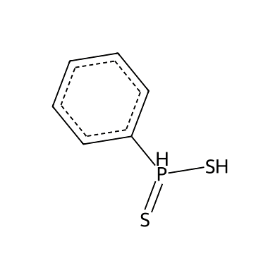 S=[PH](S)c1ccccc1